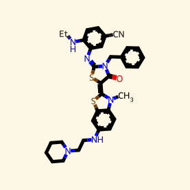 CCNc1ccc(C#N)cc1/N=C1/S/C(=C2\Sc3cc(NCCN4CCCCC4)ccc3N2C)C(=O)N1Cc1ccccc1